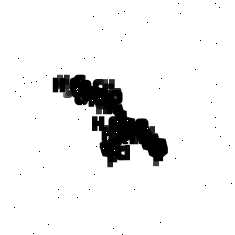 COP(=O)(OC)OCC(C)(C)CNC(=O)NCCC[C@@H](COC(=O)Nc1cc2cc(F)ccc2cn1)N(C)C(=O)NCc1cccc(F)c1Cl